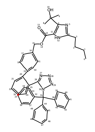 CCCCc1nc(C(C)(C)O)c(C(=O)OCc2ccc(-c3ccccc3-c3nnnn3C(c3ccccc3)(c3ccccc3)c3ccccc3)cc2)[nH]1